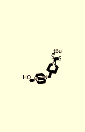 CC(C)(C)SC(=S)N1CC=C(C[N+]23CC[N+](CO)(CC2)CC3)CC1